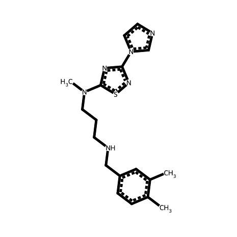 Cc1ccc(CNCCCN(C)c2nc(-n3ccnc3)ns2)cc1C